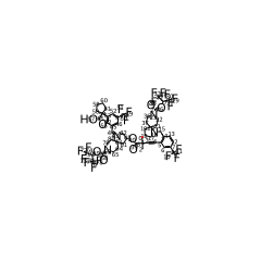 CC(C)(C#Cc1cc(C(F)(F)F)ccc1CN1CCCC12CCN(C(=O)OC(C(F)(F)F)C(F)(F)F)CC2)C(=O)OC1CN(Cc2cc(C(F)(F)F)cc(C3(C(=O)O)CCCC3)c2)C2(CCN(C(=O)OC(C(F)(F)F)C(F)(F)F)CC2)C1